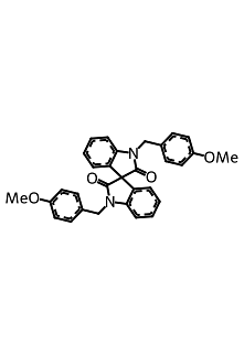 COc1ccc(CN2C(=O)C3(C(=O)N(Cc4ccc(OC)cc4)c4ccccc43)c3ccccc32)cc1